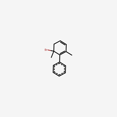 CC1=C(c2ccccc2)C(C)(Br)CC=C1